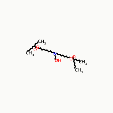 CCCCCCC(CCCC)C(=O)OCCCCCCCCCCN(CCCO)CCCCCCCCCOC(=O)C(CCCC)CCCCCC